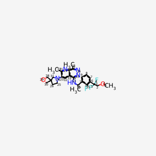 COCC(F)(F)c1cccc([C@@H](C)Nc2nnc(C)c3nc(C)c(N4CCC5(COC5)C4)cc23)c1F